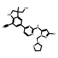 CC1(CO)CNc2c(C#N)cc(-c3ccnc(Nc4cc(Cl)nn4C[C@H]4CCCO4)n3)cc21